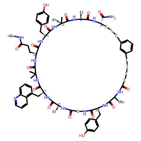 CCCCNC(=O)CC[C@@H]1NC(=O)C(C)(C)NC(=O)[C@H](Cc2cccc3ncccc23)NC(=O)[C@H](CC)NC(=O)CNC(=O)[C@H](Cc2ccc(O)cc2)NC(=O)C(C(C)(C)C)NC(=O)CCSCc2cccc(c2)CSC[C@@H](C(N)=O)NC(=O)[C@H](CC)NC(=O)[C@](C)(C(C)C)NC(=O)[C@H](Cc2ccc(O)cc2)NC1=O